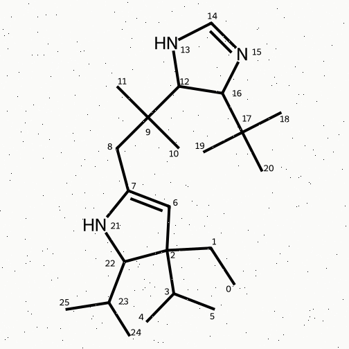 CCC1(C(C)C)C=C(CC(C)(C)C2NC=NC2C(C)(C)C)NC1C(C)C